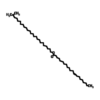 CCCCCCCCC=CCCCCCCCCCCCC(=O)OCCCCCCCCCCCCCCCCCCCCCCCC(C)C